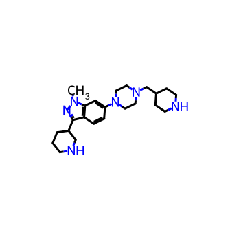 Cn1nc(C2CCCNC2)c2ccc(N3CCN(CC4CCNCC4)CC3)cc21